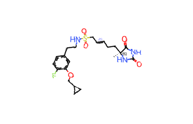 C[C@@]1(CC/C=C/CS(=O)(=O)NCCc2ccc(F)c(OCC3CC3)c2)NC(=O)NC1=O